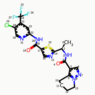 C[C@@H](NC(=O)c1cnn2c1CCCC2)c1ncc(C(=O)Nc2cc(C(F)(F)F)c(Cl)cn2)s1